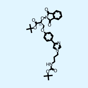 CC(C)(C)OC(=O)NCCCn1cnc(-c2ccc(OC[C@H](ON3C(=O)c4ccccc4C3=O)C(=O)OC(C)(C)C)cc2)c1